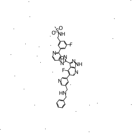 CS(=O)(=O)NCc1cc(F)cc(-c2nccc3[nH]c(-c4n[nH]c5ncc(-c6cncc(CNCc7ccccc7)c6)c(F)c45)nc23)c1